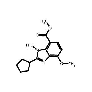 COC(=O)c1ccc(OC)c2nc(C3CCCC3)n(C)c12